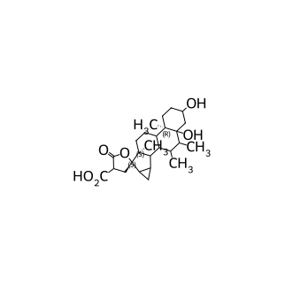 CC1C2C3C4CC4[C@@]4(CC(C(=O)O)C(=O)O4)[C@@]3(C)CCC2[C@@]2(C)CCC(O)CC2(O)C1C